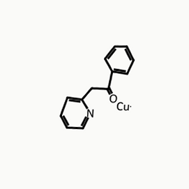 O=C(Cc1ccccn1)c1ccccc1.[Cu]